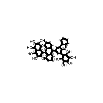 Oc1c(O)c(O)c(-c2cc(-c3c4ccccc4c(-c4c(O)c(O)c(O)c5c(O)c(O)c(O)c(O)c45)c4ccccc34)cc3c2oc2ccccc23)c(O)c1O